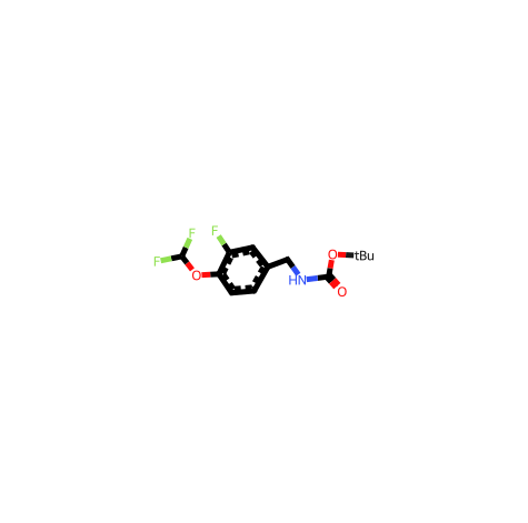 CC(C)(C)OC(=O)NCc1ccc(OC(F)F)c(F)c1